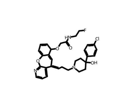 O=C(COC1C=CC=C2Oc3ncccc3C(=CCCN3CCC(O)(c4ccc(Cl)cc4)CC3)C=C21)NCCF